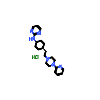 Cl.c1ccc(N2CCN(CC[C@H]3CC[C@@H](Nc4ncccn4)CC3)CC2)nc1